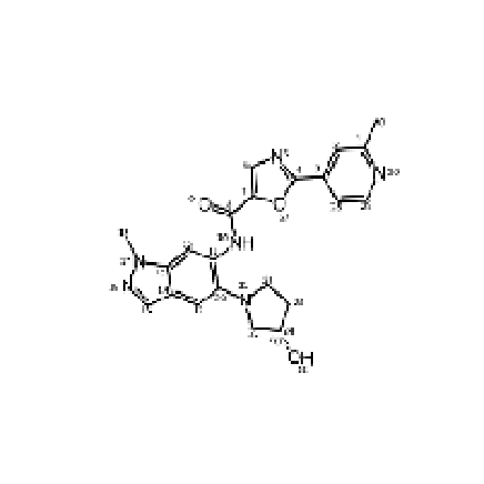 Cc1cc(-c2ncc(C(=O)Nc3cc4c(cnn4C)cc3N3CC[C@H](O)C3)o2)ccn1